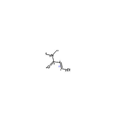 CC/C=C/C(=O)N(C)C